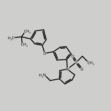 CCS(=O)(=O)[N+]1(c2cccc(Oc3cccc(C(C)(C)C)c3)c2)C=C(CN)C=CC1